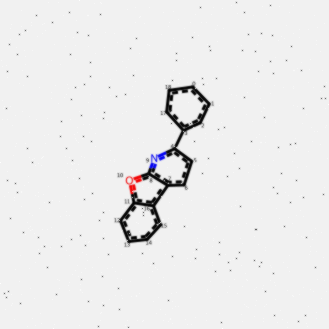 c1ccc(-c2ccc3c(n2)oc2ccccc23)cc1